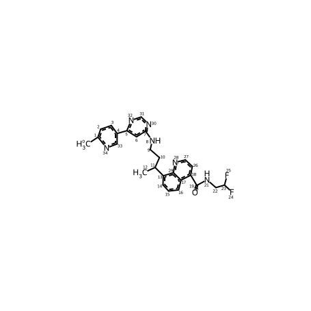 Cc1ccc(-c2cc(NCCC(C)c3cccc4c(C(=O)NCC(F)F)ccnc34)ncn2)cn1